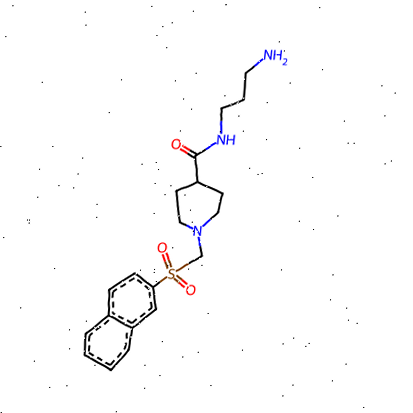 NCCCNC(=O)C1CCN(CS(=O)(=O)c2ccc3ccccc3c2)CC1